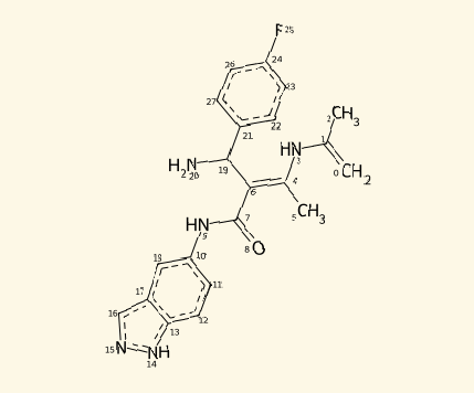 C=C(C)N/C(C)=C(/C(=O)Nc1ccc2[nH]ncc2c1)C(N)c1ccc(F)cc1